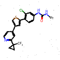 CC(C)NC(=O)Nc1ccc(-c2cc(-c3ccnc(C4(C(F)(F)F)CC4)c3)cs2)c(Cl)c1